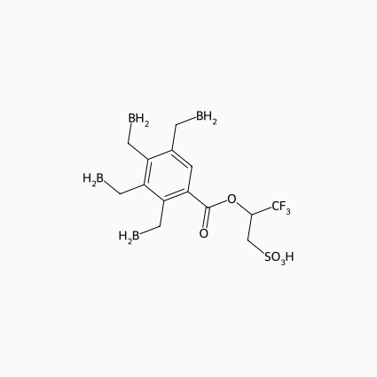 BCc1cc(C(=O)OC(CS(=O)(=O)O)C(F)(F)F)c(CB)c(CB)c1CB